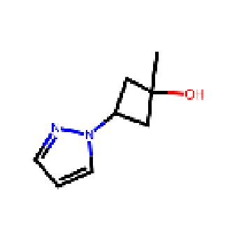 CC1(O)CC(n2cccn2)C1